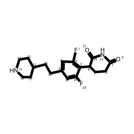 O=C1CCC(c2c(F)cc(CCC3CCNCC3)cc2F)C(=O)N1